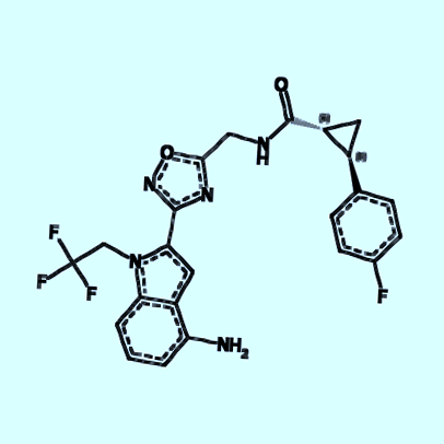 Nc1cccc2c1cc(-c1noc(CNC(=O)[C@@H]3C[C@H]3c3ccc(F)cc3)n1)n2CC(F)(F)F